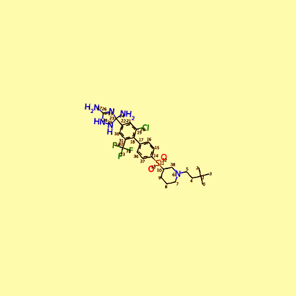 CC(C)(C)CCN1CCCC(S(=O)(=O)c2ccc(-c3c(Cl)cc(C4(N)N=C(N)NN4)cc3C(F)(F)F)cc2)C1